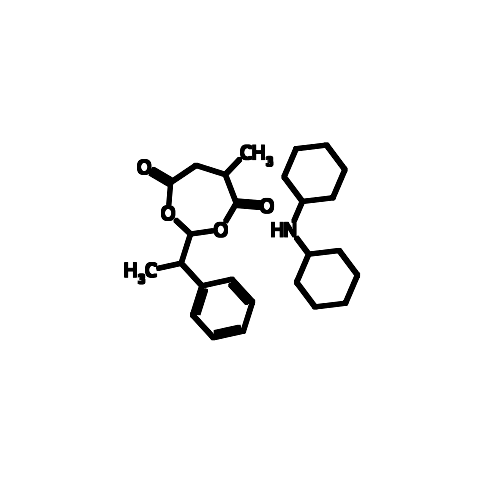 C1CCC(NC2CCCCC2)CC1.CC1CC(=O)OC(C(C)c2ccccc2)OC1=O